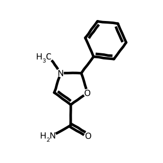 CN1C=C(C(N)=O)OC1c1ccccc1